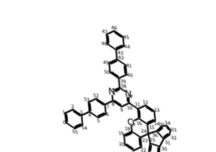 c1ccc(-c2ccc(-c3cc(-c4cccc5c4Oc4ccccc4C54c5ccccc5-c5ccccc54)nc(-c4ccc(-c5ccccc5)cc4)n3)cc2)cc1